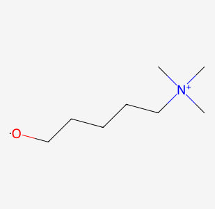 C[N+](C)(C)CCCCC[O]